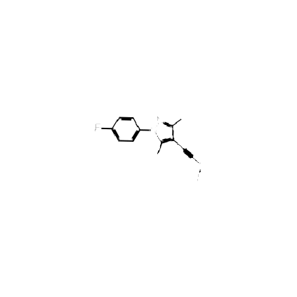 Cc1nn(-c2ccc(F)cc2)c(C)c1C#CSI